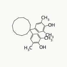 Cc1cc(C2(c3cc(C)c(O)c(C)c3)CCCCCCCCCC2)cc(C)c1O